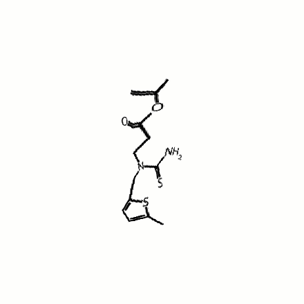 C=C(C)OC(=O)CCN(Cc1ccc(C)s1)C(N)=S